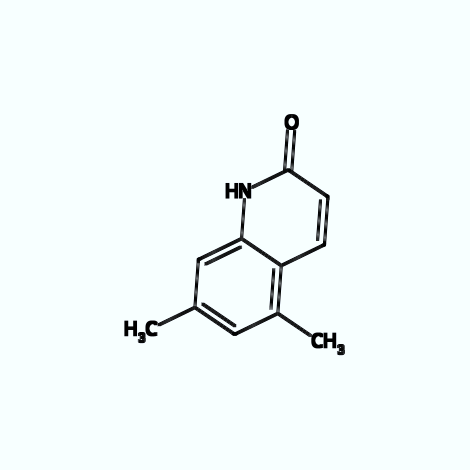 Cc1cc(C)c2ccc(=O)[nH]c2c1